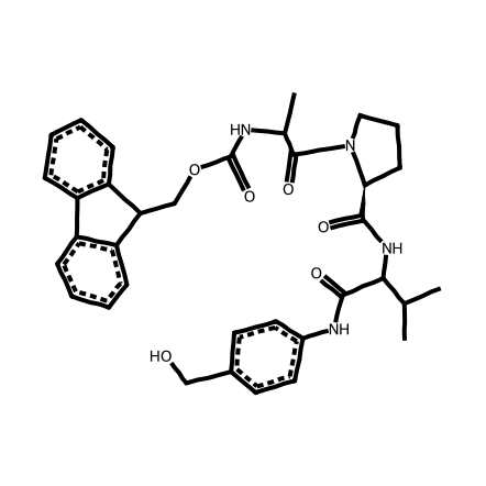 CC(NC(=O)OCC1c2ccccc2-c2ccccc21)C(=O)N1CCC[C@H]1C(=O)NC(C(=O)Nc1ccc(CO)cc1)C(C)C